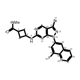 CNC(=O)C1CC(Nc2ncc3c(Br)nn(-c4cc(F)c5ncccc5c4)c3n2)C1